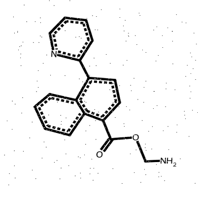 NCOC(=O)c1ccc(-c2ccccn2)c2ccccc12